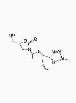 C/C=C\C(=N/C(C)N1C[C@H](CO)OC1=O)c1nnn(C)n1